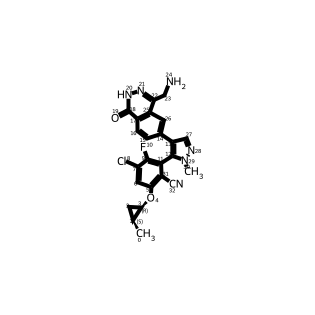 C[C@H]1C[C@H]1Oc1cc(Cl)c(F)c(-c2c(-c3ccc4c(=O)[nH]nc(CN)c4c3)cnn2C)c1C#N